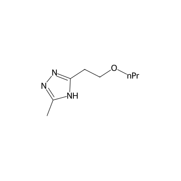 CCCOCCc1nnc(C)[nH]1